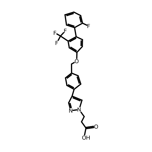 O=C(O)CCn1cc(-c2ccc(COc3ccc(-c4ccccc4F)c(C(F)(F)F)c3)cc2)cn1